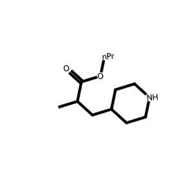 CCCOC(=O)C(C)CC1CCNCC1